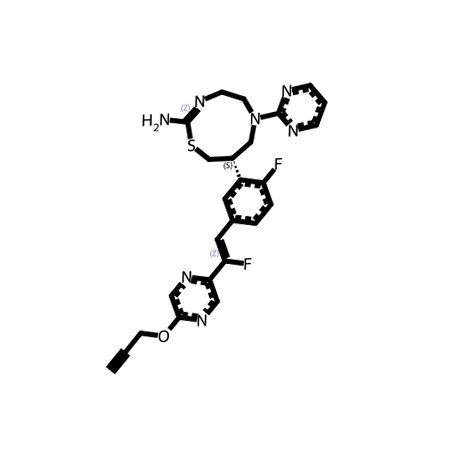 C#CCOc1cnc(/C(F)=C/c2ccc(F)c([C@@H]3CS/C(N)=N\CCN(c4ncccn4)C3)c2)cn1